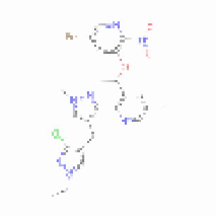 CCn1cc(Cc2cn(C)nc2-c2ncc(F)cc2C(C)Oc2cc(Br)cnc2[N+](=O)[O-])c(Cl)n1